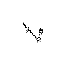 CCCCOC(=O)CCCSCCN1C(=O)OC[C@H]1CO[Si](C)(C)C(C)(C)C